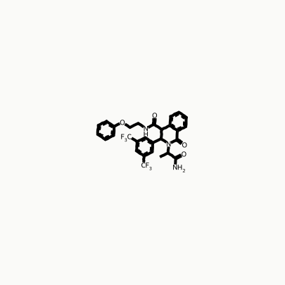 CC(C(N)=O)N1C(=O)c2ccccc2C(C(=O)NCCOc2ccccc2)C1c1cc(C(F)(F)F)cc(C(F)(F)F)c1